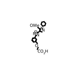 COCc1c(-c2nc(-c3cccc(COCCC(=O)O)c3)no2)cnn1C1CCCCC1